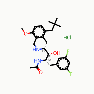 COc1ccc(CC(C)(C)C)c2c1CN[C@@H]([C@H](O)[C@H](Cc1cc(F)cc(F)c1)NC(C)=O)C2.Cl